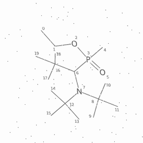 CCOP(C)(=O)C(N(C(C)(C)C)C(C)(C)C)C(C)(C)C